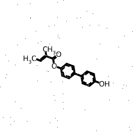 CC=C(C)C(=O)Oc1ccc(-c2ccc(O)cc2)cc1